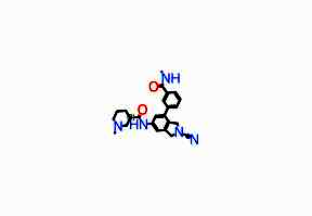 CNC(=O)c1cccc(-c2cc(NC(=O)[C@@H]3CCCN(C)C3)cc3c2CN(C#N)C3)c1